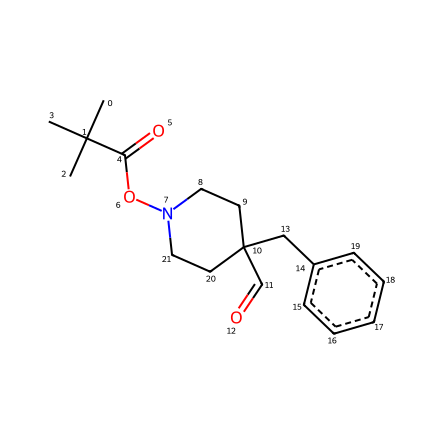 CC(C)(C)C(=O)ON1CCC(C=O)(Cc2ccccc2)CC1